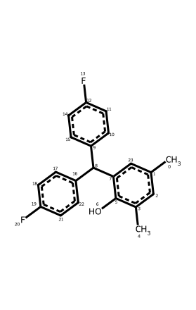 Cc1cc(C)c(O)c(C(c2ccc(F)cc2)c2ccc(F)cc2)c1